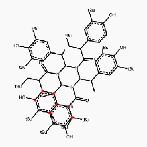 CC(c1cc(C(C)(C)C)c(O)c(C(C)(C)C)c1)C1N(C(=O)C(CC(C)(C)C)c2ccc(O)c(C(C)(C)C)c2)C(C(C)c2cc(C(C)(C)C)c(O)c(C(C)(C)C)c2)N(C(=O)C(CC(C)(C)C)c2ccc(O)c(C(C)(C)C)c2)C(C(C)c2cc(C(C)(C)C)c(O)c(C(C)(C)C)c2)N1C(=O)C(CC(C)(C)C)c1ccc(O)c(C(C)(C)C)c1